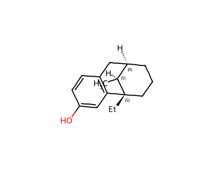 CC[C@@]12CCC[C@H](Cc3ccc(O)cc31)[C@@H]2C